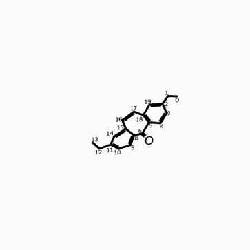 CCc1ccc2c(=O)c3ccc(CC)cc3ccc2c1